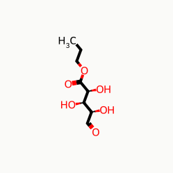 CCCOC(=O)[C@@H](O)[C@H](O)[C@@H](O)C=O